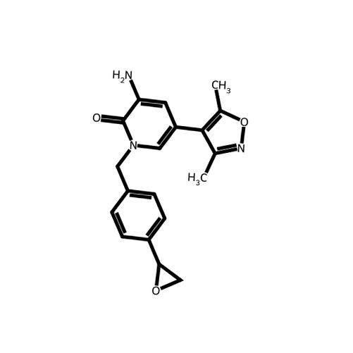 Cc1noc(C)c1-c1cc(N)c(=O)n(Cc2ccc(C3CO3)cc2)c1